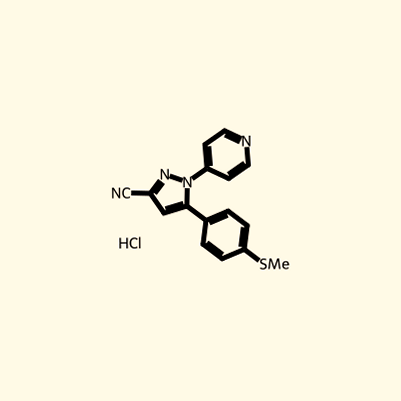 CSc1ccc(-c2cc(C#N)nn2-c2ccncc2)cc1.Cl